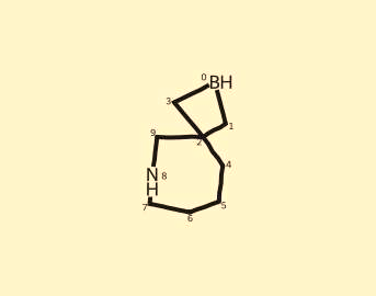 B1CC2(C1)CCCCNC2